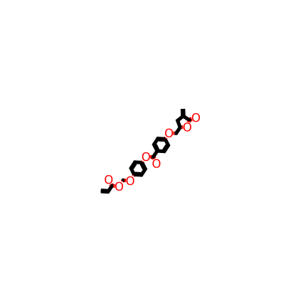 C=CC(=O)OCOc1ccc(OC(=O)c2ccc(OCC3CC(=C)C(=O)O3)cc2)cc1